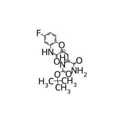 CC(C)(C)OC(=O)N[C@@H](C[C@@H]1Oc2ccc(F)cc2NC1=O)C(N)=O